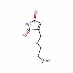 CCCCCCCCCCCC1=CC(=O)NC1=O